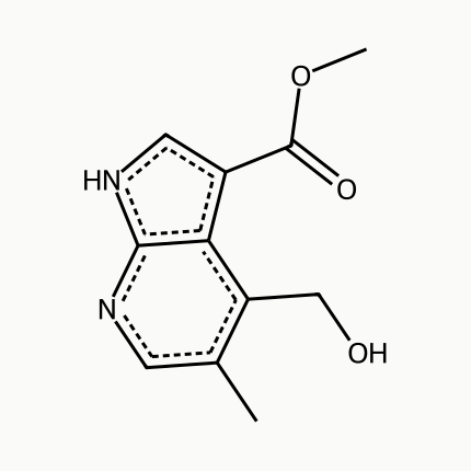 COC(=O)c1c[nH]c2ncc(C)c(CO)c12